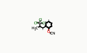 CC(Cc1ccccc1OC#N)[Si](Cl)(Cl)Cl